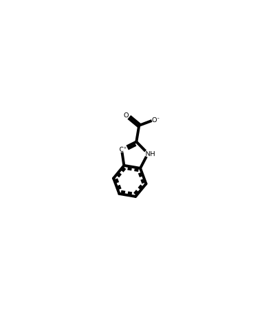 O=C([O-])C1=[C+]c2ccccc2N1